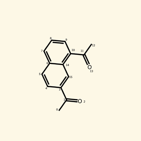 CC(=O)c1ccc2cccc(C(C)=O)c2c1